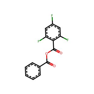 O=C(OC(=O)c1c(F)cc(F)cc1F)c1ccccc1